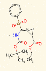 CCOC(=O)C1C[C@@H]1C(NC(=O)OC(C)(C)C)S(=O)(=O)c1ccccc1